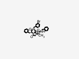 CN(C(=O)NCc1ccccc1)N1CC(=O)N2[C@@H](Cc3ccccc3)C(=O)N(Cc3cccc(Br)c3)C[C@@H]21